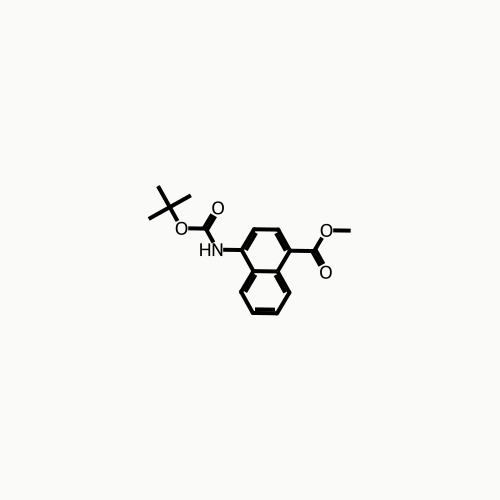 COC(=O)c1ccc(NC(=O)OC(C)(C)C)c2ccccc12